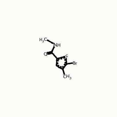 CNC(=O)c1cc(C)c(Br)s1